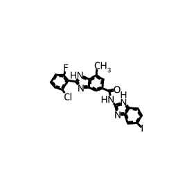 Cc1cc(C(=O)Nc2nc3cc(I)ccc3[nH]2)cc2nc(-c3c(F)cccc3Cl)[nH]c12